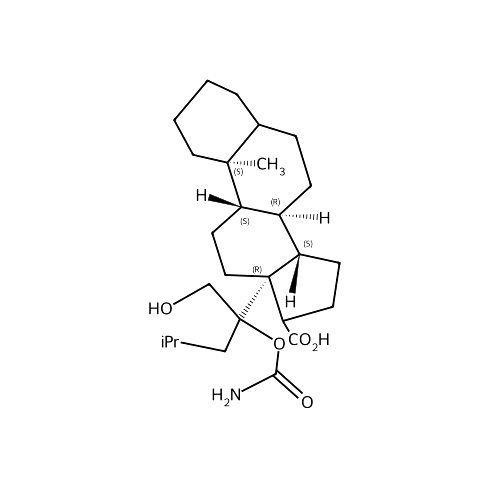 CC(C)CC(CO)(OC(N)=O)[C@]12CC[C@H]3[C@@H](CCC4CCCC[C@@]43C)[C@@H]1CCC2C(=O)O